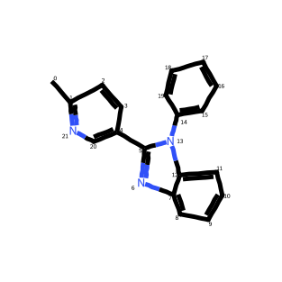 Cc1ccc(-c2nc3ccccc3n2-c2ccccc2)cn1